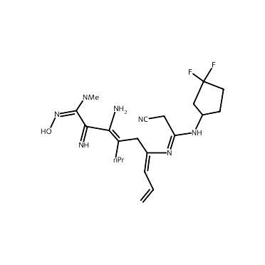 C=C/C=C(C/C(CCC)=C(\N)C(=N)/C(=N\O)NC)\N=C(/CC#N)NC1CCC(F)(F)C1